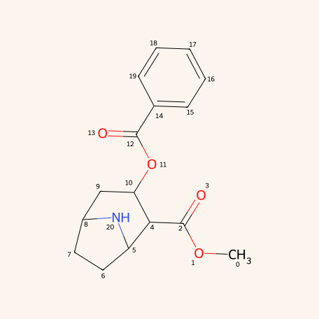 COC(=O)C1C2CCC(CC1OC(=O)c1ccccc1)N2